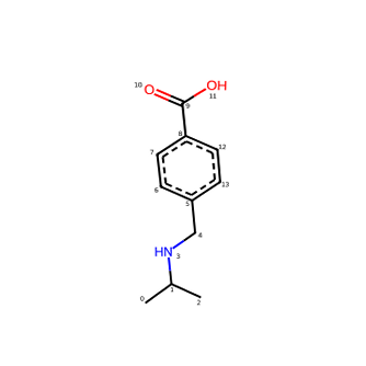 CC(C)NCc1ccc(C(=O)O)cc1